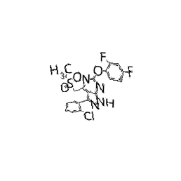 CCS(=O)(=O)Cc1nc(Oc2ccc(F)cc2F)nc2[nH]nc(-c3ccccc3Cl)c12